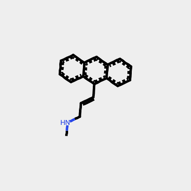 CNCC=Cc1c2ccccc2cc2ccccc12